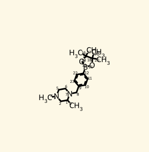 CC1CN(C)CCN1Cc1ccc(B2OC(C)(C)C(C)(C)O2)cc1